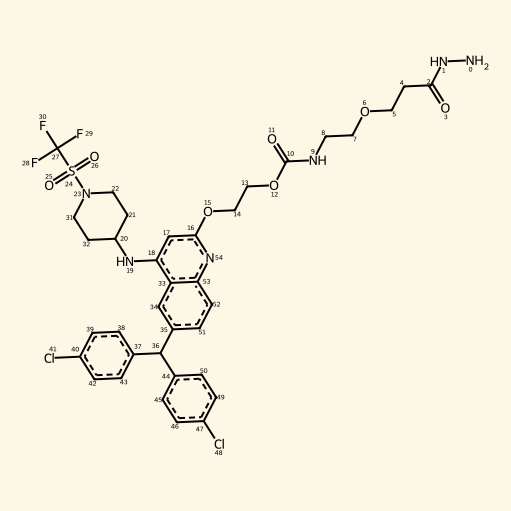 NNC(=O)CCOCCNC(=O)OCCOc1cc(NC2CCN(S(=O)(=O)C(F)(F)F)CC2)c2cc(C(c3ccc(Cl)cc3)c3ccc(Cl)cc3)ccc2n1